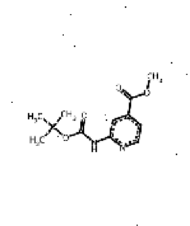 COC(=O)c1ccnc(NC(=O)OC(C)(C)C)c1